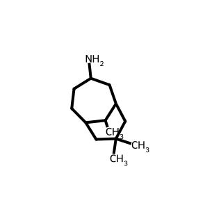 CC1C2CCC(N)CC1CC(C)(C)C2